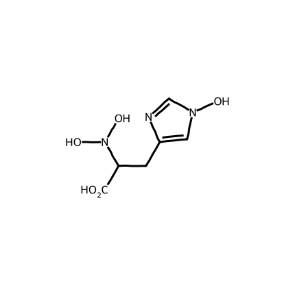 O=C(O)C(Cc1cn(O)cn1)N(O)O